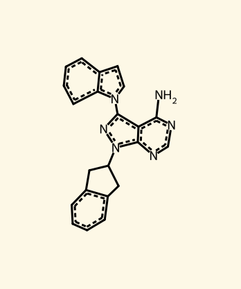 Nc1ncnc2c1c(-n1ccc3ccccc31)nn2C1Cc2ccccc2C1